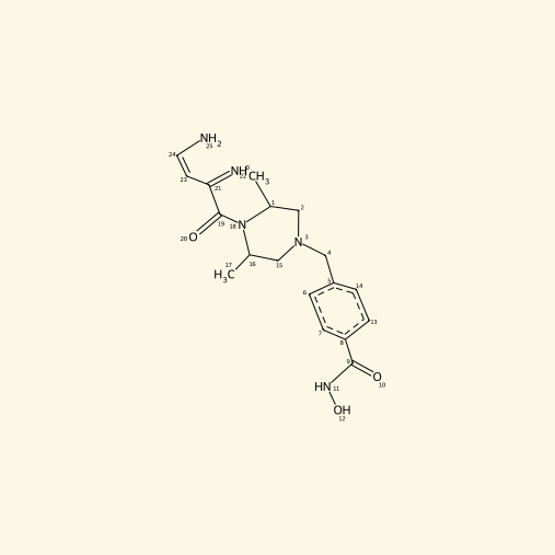 CC1CN(Cc2ccc(C(=O)NO)cc2)CC(C)N1C(=O)C(=N)/C=C\N